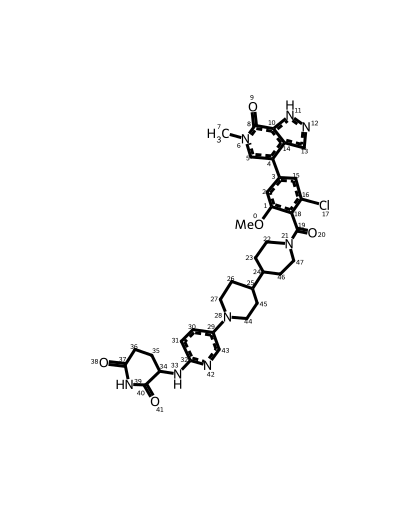 COc1cc(-c2cn(C)c(=O)c3[nH]ncc23)cc(Cl)c1C(=O)N1CCC(C2CCN(c3ccc(NC4CCC(=O)NC4=O)nc3)CC2)CC1